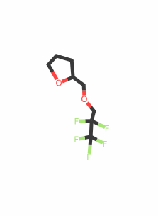 FC(F)(F)C(F)(F)COCC1CCCO1